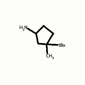 CC(C)(C)C1(C)CCC(N)C1